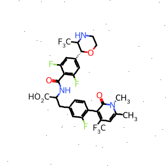 Cc1cc(C(F)(F)F)c(-c2ccc(CC(NC(=O)c3c(F)cc([C@H]4OCCNC4C(F)(F)F)cc3F)C(=O)O)cc2F)c(=O)n1C